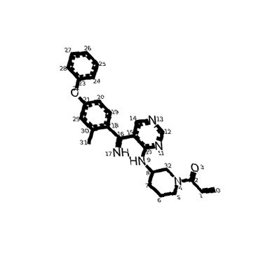 C=CC(=O)N1CCCC(Nc2ncncc2C(=N)c2ccc(Oc3ccccc3)cc2C)C1